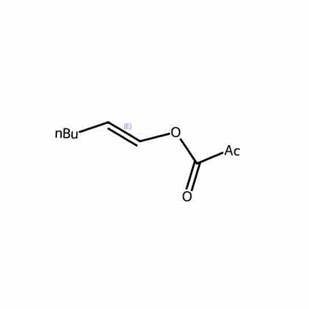 CCCC/C=C/OC(=O)C(C)=O